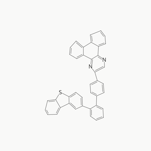 c1ccc(-c2ccc3sc4ccccc4c3c2)c(-c2ccc(-c3cnc4c5ccccc5c5ccccc5c4n3)cc2)c1